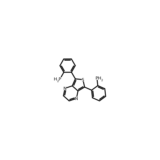 Pc1ccccc1-c1sc(-c2ccccc2P)c2nccnc12